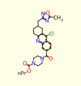 CCCOC(=O)N1CCN(C(=O)c2ccc3c(Cl)c4c(nc3c2)CCC(Cc2noc(C)n2)C4)CC1